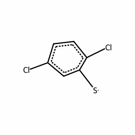 [S]c1cc(Cl)ccc1Cl